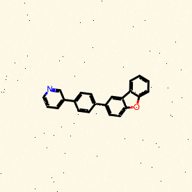 c1cncc(-c2ccc(-c3ccc4oc5ccccc5c4c3)cc2)c1